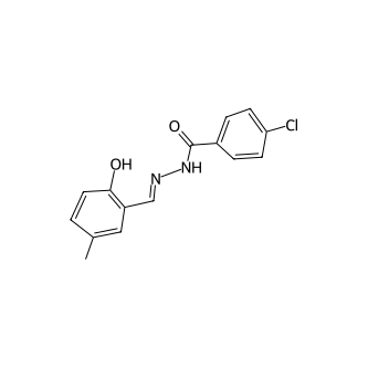 Cc1ccc(O)c(/C=N/NC(=O)c2ccc(Cl)cc2)c1